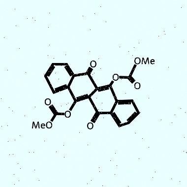 COC(=O)OC1=C2C(=O)c3ccccc3C(OC(=O)OC)=C2C(=O)c2ccccc21